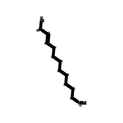 CCCCCCCCCCCCCCCCC=COCC